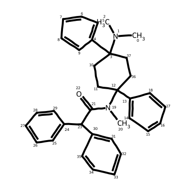 CN(C)C1(c2ccccc2)CCC(c2ccccc2)(N(C)C(=O)C(c2ccccc2)c2ccccc2)CC1